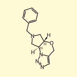 c1ccc(CN2C[C@@H]3OCc4cnnn4[C@H]3C2)cc1